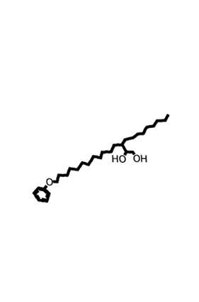 CCCCCCCCCC(CCCCCCCCCCCCOc1ccccc1)C(O)CO